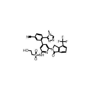 Cn1cnnc1-c1ccc(C#N)cc1-c1cc(NS(=O)(=O)CCO)nc(N2Cc3c(cccc3C(F)(F)F)C2=O)c1